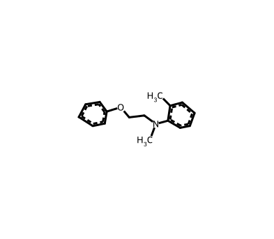 Cc1ccccc1N(C)CCOc1ccccc1